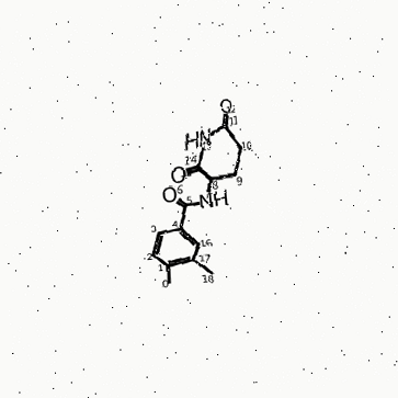 Cc1ccc(C(=O)NC2CCC(=O)NC2=O)cc1C